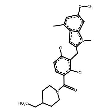 Cc1cc(OC(F)(F)F)cc2c1cc(Cc1c(Cl)ccc(C(=O)N3CCC(CC(=O)O)CC3)c1Cl)n2C